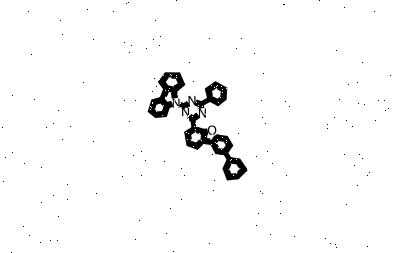 c1ccc(-c2ccc3oc4c(-c5nc(-c6ccccc6)nc(-n6c7ccccc7c7ccccc76)n5)cccc4c3c2)cc1